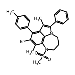 Cc1ccc(-c2c(Br)c(C)c3c4c2c(C)c(-c2ccccc2)n4CCCN3S(C)(=O)=O)cc1